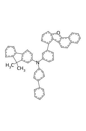 CC1(C)c2ccccc2-c2ccc(N(c3ccc(-c4ccccc4)cc3)c3cccc(-c4cccc5oc6c7ccccc7ccc6c45)c3)cc21